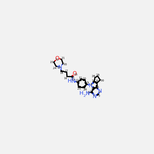 Nc1ncnc2c3c(n(-c4ccc(NC(=O)CCCN5CCOCC5)cc4)c12)CCC3